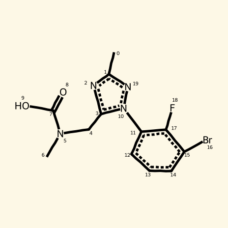 Cc1nc(CN(C)C(=O)O)n(-c2cccc(Br)c2F)n1